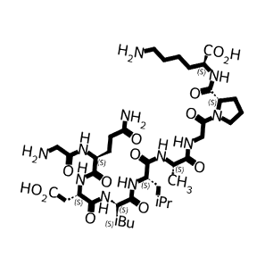 CC[C@H](C)[C@H](NC(=O)[C@H](CC(=O)O)NC(=O)[C@H](CCC(N)=O)NC(=O)CN)C(=O)N[C@@H](CC(C)C)C(=O)N[C@@H](C)C(=O)NCC(=O)N1CCC[C@H]1C(=O)N[C@@H](CCCCN)C(=O)O